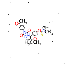 CC(=O)c1ccc(-n2c(=O)n3n(c2=O)C2C(=CC3)C(C)(C)Oc3cc(OC(=S)N(C)C)ccc32)cc1